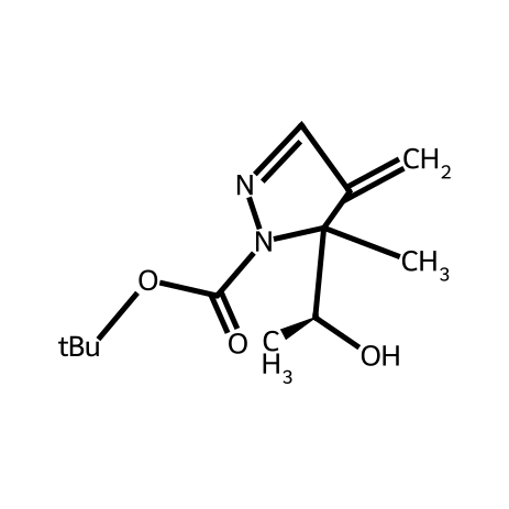 C=C1C=NN(C(=O)OC(C)(C)C)C1(C)[C@H](C)O